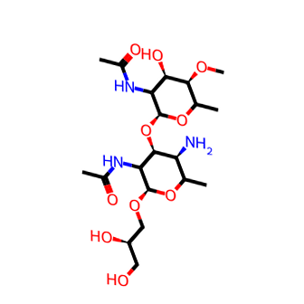 CO[C@H]1C(C)O[C@@H](O[C@@H]2C(NC(C)=O)[C@H](OC[C@H](O)CO)OC(C)[C@@H]2N)C(NC(C)=O)[C@H]1O